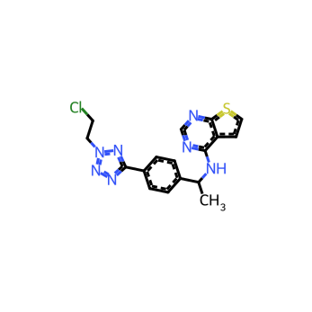 CC(Nc1ncnc2sccc12)c1ccc(-c2nnn(CCCl)n2)cc1